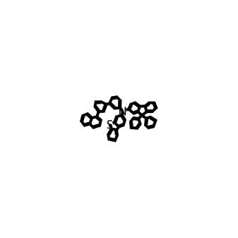 c1ccc(C2(c3ccccc3)c3ccccc3-c3ccc(N(c4cccc(-c5cccc(-c6cccc7ccccc67)c5)c4)c4ccc5c(c4)sc4ccccc45)cc32)cc1